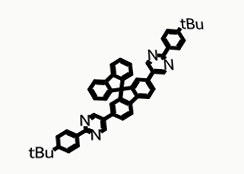 CC(C)(C)c1ccc(-c2ncc(-c3ccc4c(c3)C3(c5ccccc5-c5ccccc53)c3cc(-c5cnc(C6=CCC(C(C)(C)C)C=C6)nc5)ccc3-4)cn2)cc1